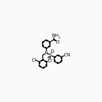 N#Cc1cccc(S(=O)(=O)N(Cc2c(Cl)cccc2Cl)c2cccc(C(N)=O)c2)c1